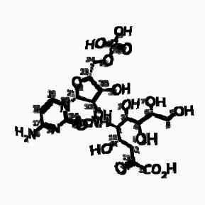 CC(=O)N[C@@H]([C@@H](O)[C@H](O)[C@H](O)CO)[C@@H](O)CC(=O)C(=O)O.Nc1ccn([C@@H]2O[C@H](COP(=O)(O)O)[C@@H](O)[C@H]2O)c(=O)n1